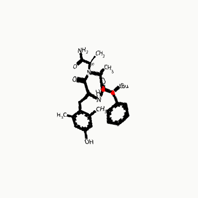 Cc1cc(O)cc(C)c1CC(NC(=O)OC(C)(C)C)C(=O)N(C(C)CCc1ccccc1)[C@H](C)C(N)=O